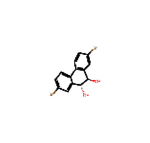 O[C@@H]1c2cc(Br)ccc2-c2ccc(Br)cc2[C@H]1O